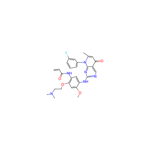 C=CC(=O)Nc1cc(Nc2ncc3c(=O)cc(C)n(-c4cccc(F)c4)c3n2)c(OC)cc1OCCN(C)C